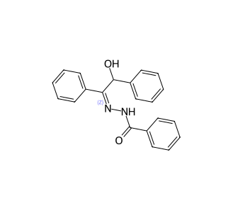 O=C(N/N=C(/c1ccccc1)C(O)c1ccccc1)c1ccccc1